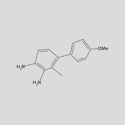 COc1ccc(-c2ccc(N)c(N)c2C)cc1